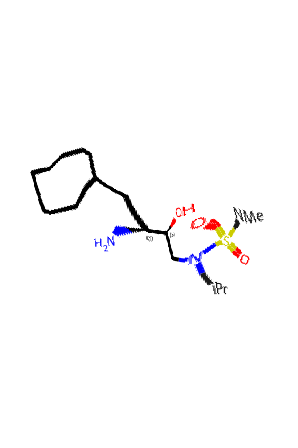 CNS(=O)(=O)N(C[C@H](O)[C@@H](N)CC1CCCCC1)C(C)C